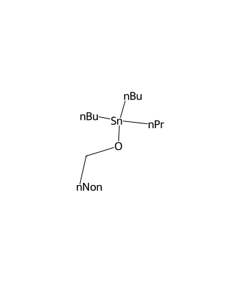 CCCCCCCCCC[O][Sn]([CH2]CC)([CH2]CCC)[CH2]CCC